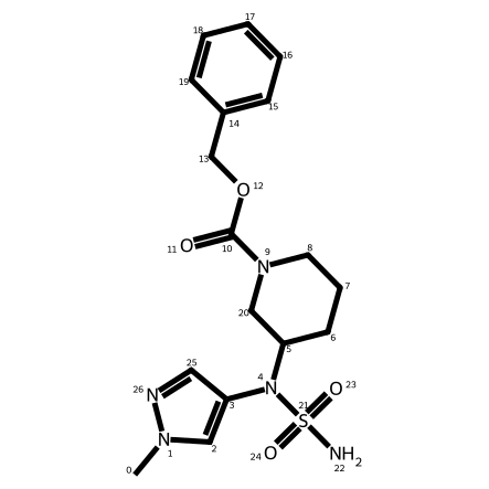 Cn1cc(N(C2CCCN(C(=O)OCc3ccccc3)C2)S(N)(=O)=O)cn1